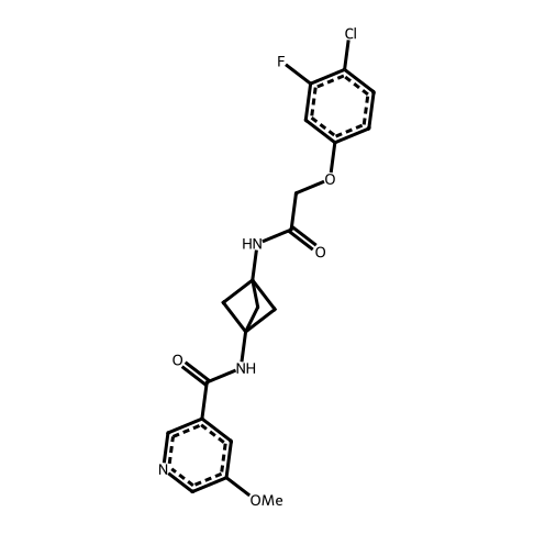 COc1cncc(C(=O)NC23CC(NC(=O)COc4ccc(Cl)c(F)c4)(C2)C3)c1